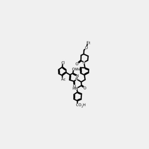 CCOCC1CCN(c2ccc(CC(C(=O)Nc3ccc(C(=O)O)cc3)n3nc(OC)c(-c4cc(Cl)ccc4C(C)=O)cc3=O)cc2)C(=O)C1